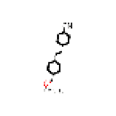 CCCCCOC[C@H]1CC[C@H](CC[C@H]2CC[C@H](C#N)CC2)CC1